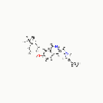 CCC(C)(C)[C@H]1CC[C@H](Oc2ccc3cc(CN4CC(C(=O)O)C4)ncc3c2)CC1